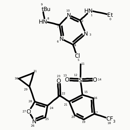 CCNc1nc(Cl)nc(NC(C)(C)C)n1.CS(=O)(=O)c1cc(C(F)(F)F)ccc1C(=O)c1cnoc1C1CC1